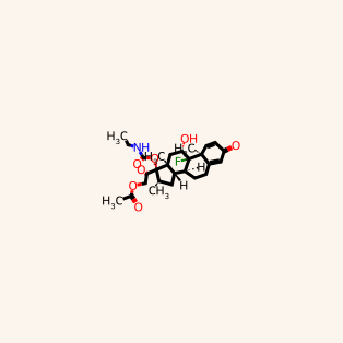 CCNC(=O)O[C@]1(C(=O)COC(C)=O)[C@@H](C)C[C@H]2[C@@H]3CCC4=CC(=O)C=C[C@]4(C)[C@@]3(F)[C@@H](O)C[C@@]21C